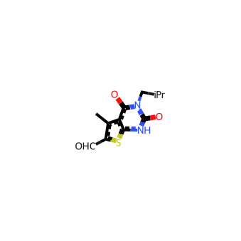 Cc1c(C=O)sc2[nH]c(=O)n(CC(C)C)c(=O)c12